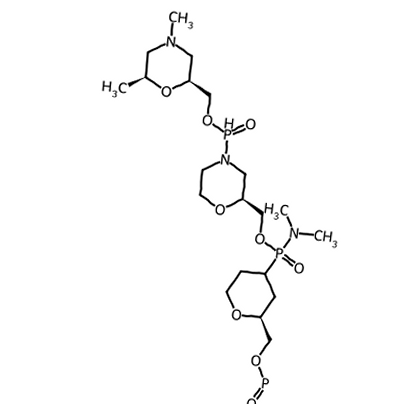 C[C@H]1CN(C)C[C@@H](CO[PH](=O)N2CCO[C@H](COP(=O)(C3CCO[C@H](COP=O)C3)N(C)C)C2)O1